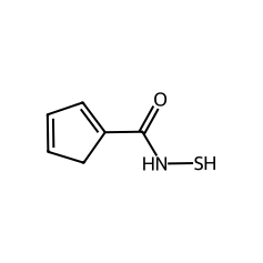 O=C(NS)C1=CC=CC1